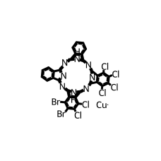 Clc1c(Cl)c(Cl)c2c(c1Cl)-c1nc-2nc2[nH]c(nc3nc(nc4[nH]c(n1)c1ccccc41)-c1ccccc1-3)c1c(Br)c(Br)c(Cl)c(Cl)c21.[Cu]